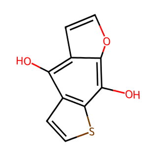 Oc1c2ccoc2c(O)c2sccc12